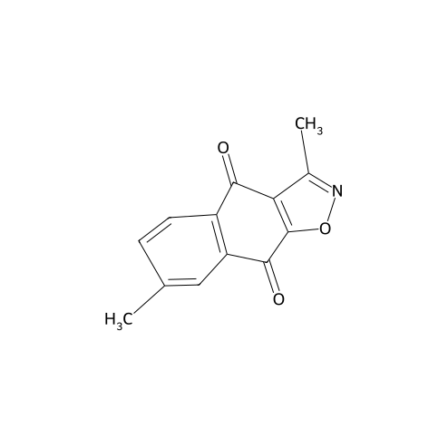 Cc1ccc2c(c1)C(=O)c1onc(C)c1C2=O